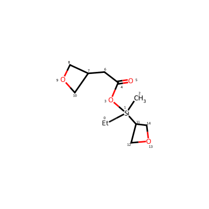 CC[Si](C)(OC(=O)CC1COC1)C1COC1